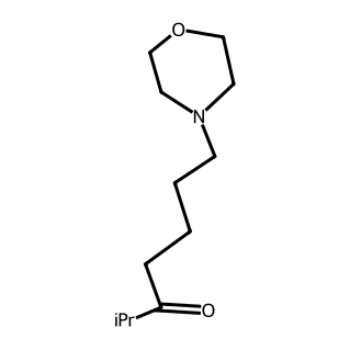 CC(C)C(=O)CCCCN1CCOCC1